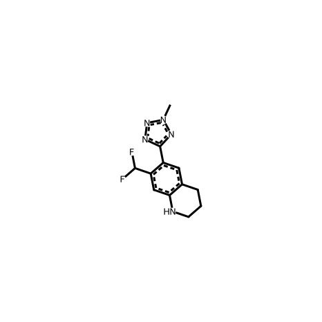 Cn1nnc(-c2cc3c(cc2C(F)F)NCCC3)n1